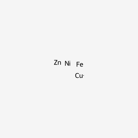 [Cu].[Fe].[Ni].[Zn]